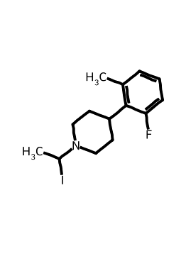 Cc1cccc(F)c1C1CCN(C(C)I)CC1